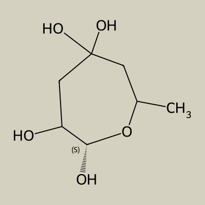 CC1CC(O)(O)CC(O)[C@@H](O)O1